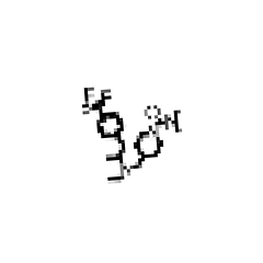 CCN(CC1CCN(C(=O)N(C)C)CC1)C(C)Cc1ccc(C(F)(F)F)cc1